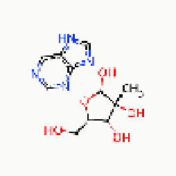 C[C@]1(O)C(O)O[C@H](CO)[C@H]1O.c1ncc2[nH]cnc2n1